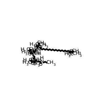 CCCCNC(=O)CC[C@H](NC(=O)CC[C@H](NC(=O)CC[C@H](NC(=O)CCCCCCCCCCCCCCCCCCC(=O)OC(C)(C)C)C(=O)OC(C)(C)C)C(=O)OC(C)(C)C)C(=O)OC(C)(C)C